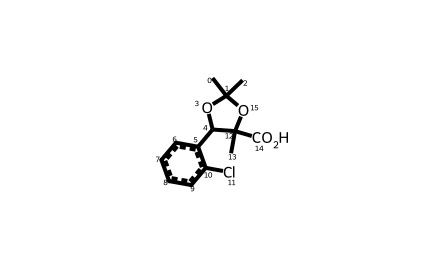 CC1(C)OC(c2ccccc2Cl)C(C)(C(=O)O)O1